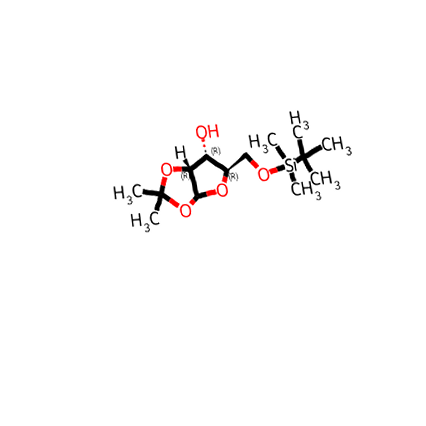 CC1(C)OC2O[C@H](CO[Si](C)(C)C(C)(C)C)[C@@H](O)[C@H]2O1